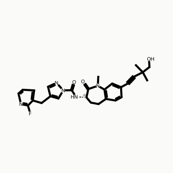 CN1C(=O)[C@@H](NC(=O)n2cc(Cc3cccnc3F)cn2)CCc2ccc(C#CC(C)(C)CO)cc21